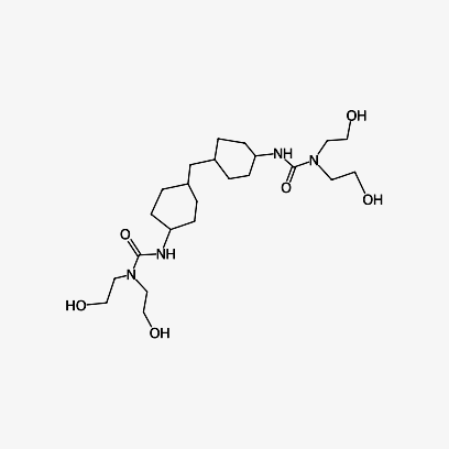 O=C(NC1CCC(CC2CCC(NC(=O)N(CCO)CCO)CC2)CC1)N(CCO)CCO